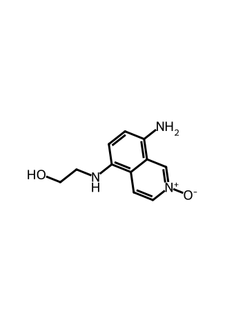 Nc1ccc(NCCO)c2cc[n+]([O-])cc12